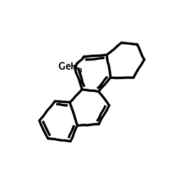 [GeH4].c1ccc2c(c1)ccc1c3c(ccc12)CCCC3